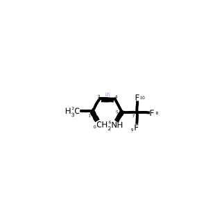 C=C(C)/C=C\C(=N)C(F)(F)F